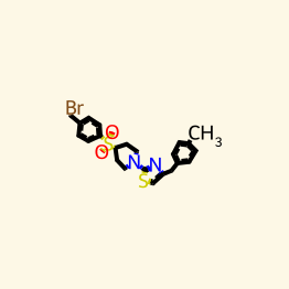 Cc1ccc(Cc2csc(N3CCC(S(=O)(=O)c4ccc(CBr)cc4)CC3)n2)cc1